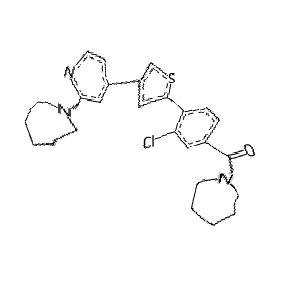 O=C(c1ccc(-c2cc(-c3ccnc(N4CCCCC4)c3)cs2)c(Cl)c1)N1CCCCC1